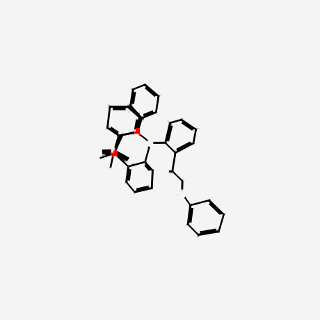 CC(COc1ccccc1)c1ccccc1P(c1ccccc1C(C)COc1ccccc1)c1ccccc1S(=O)(=O)O